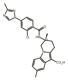 Cc1ccc2c(c1)c(C(=O)O)c1n2C[C@](C)(NC(=O)c2ccc(-n3cnc(C)n3)cc2Cl)CC1